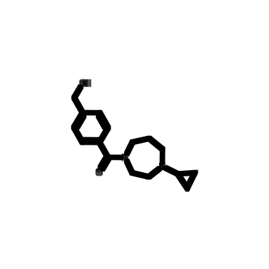 O=C(c1ccc(CO)cc1)N1CCCN(C2CC2)CC1